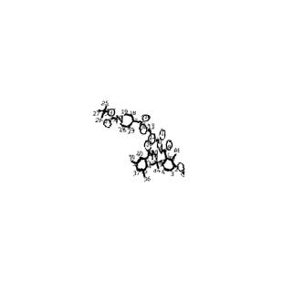 COc1cccc(C(=O)N(C(=O)OCOC(=O)C2CCN(C(=O)OC(C)(C)C)CC2)N(C(=O)c2cc(C)cc(C)c2)C(C)(C)C)c1C